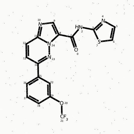 O=C(Nc1nccs1)c1cnc2ccc(-c3cccc(OC(F)(F)F)c3)nn12